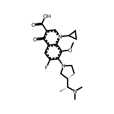 COc1c(N2CC[C@H]([C@@H](C)N(C)C)C2)c(F)cc2c(=O)c(C(=O)O)cn(C3CC3)c12